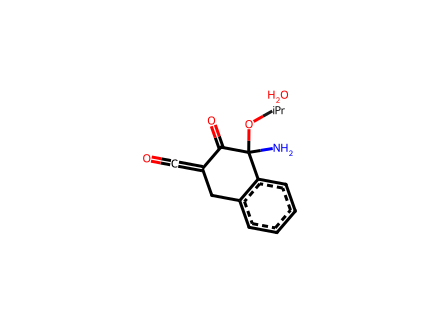 CC(C)OC1(N)C(=O)C(=C=O)Cc2ccccc21.O